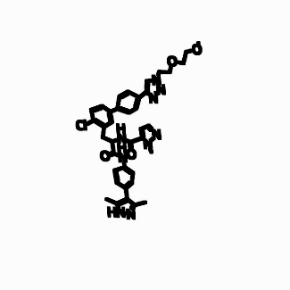 COCCOCCn1cc(-c2ccc(-c3ccc(Cl)c(CC(NC(=O)c4ccnn4C)C(=O)Nc4ccc(-c5c(C)n[nH]c5C)cc4)c3)cc2)nn1